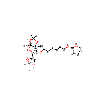 CC1(C)O[C@H]2O[C@H]([C@H]3COC(C)(C)O3)[C@H](OCCCCCCOC3CCCCO3)[C@H]2O1